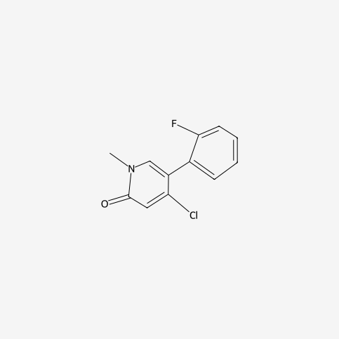 Cn1cc(-c2ccccc2F)c(Cl)cc1=O